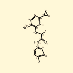 Cc1ccc(NC(=O)C(C)Sc2nc(C3CC3)ccc2C#N)cc1